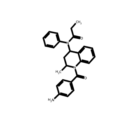 CCC(=O)N(c1ccccc1)C1CC(C)N(C(=O)c2ccc(N)cc2)c2ccccc21